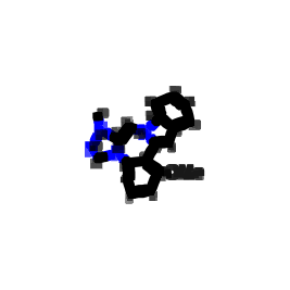 COc1cccc2c1-c1cc3ccccc3n1C=C1N(C)N=CN12